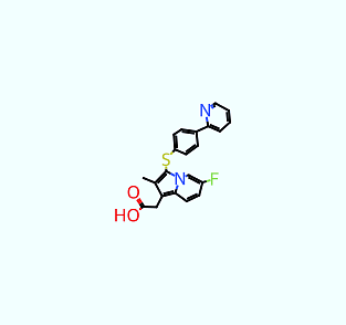 Cc1c(CC(=O)O)c2ccc(F)cn2c1Sc1ccc(-c2ccccn2)cc1